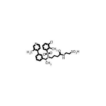 Cc1cnccc1-c1cccc([C@@H](C)N(CCCC(=O)NCCS(=O)(=O)O)S(=O)(=O)c2cccc(Cl)c2C)c1